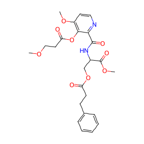 COCCC(=O)Oc1c(OC)ccnc1C(=O)NC(COC(=O)CCc1ccccc1)C(=O)OC